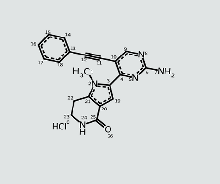 Cl.Cn1c(-c2nc(N)ncc2C#Cc2ccccc2)cc2c1CCNC2=O